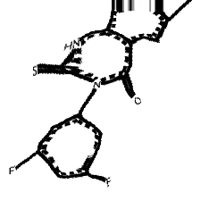 O=c1c2cc(I)ccc2[nH]c(=S)n1-c1cc(F)cc(F)c1